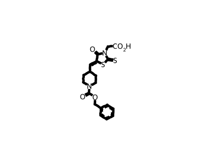 O=C(O)CN1C(=O)C(=CC2CCN(C(=O)OCc3ccccc3)CC2)SC1=S